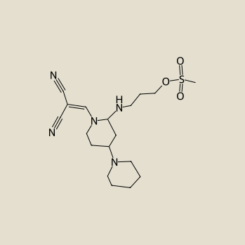 CS(=O)(=O)OCCCNC1CC(N2CCCCC2)CCN1C=C(C#N)C#N